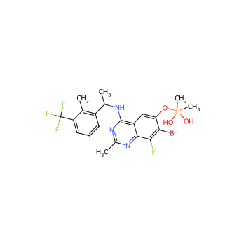 Cc1nc(NC(C)c2cccc(C(F)(F)F)c2C)c2cc(OP(C)(C)(O)O)c(Br)c(F)c2n1